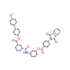 COc1ccc(-c2ccc(OC(=O)c3cccc(C(=O)Nc4cccc(OC(=O)c5ccc(N6C(=O)C7C8C=CC(C8)C7C6=O)cc5)c4)c3)cc2)cc1